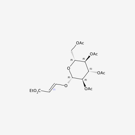 CCOC(=O)/C=C/O[C@@H]1O[C@H](COC(C)=O)[C@@H](OC(C)=O)[C@H](OC(C)=O)[C@H]1OC(C)=O